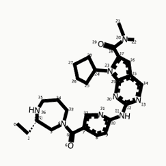 CC[C@H]1CN(C(=O)c2ccc(Nc3ncc4cc(C(=O)N(C)C)n(C5CCCC5)c4n3)nc2)CCCN1